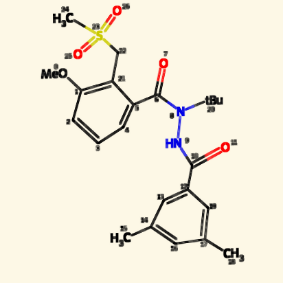 COc1cccc(C(=O)N(NC(=O)c2cc(C)cc(C)c2)C(C)(C)C)c1CS(C)(=O)=O